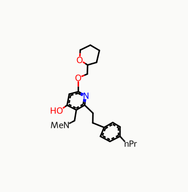 CCCc1ccc(CCc2nc(OCC3CCCCO3)cc(O)c2CNC)cc1